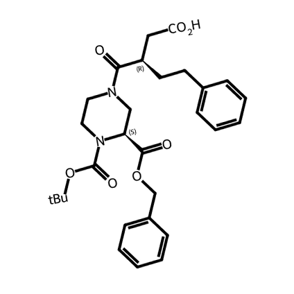 CC(C)(C)OC(=O)N1CCN(C(=O)[C@H](CCc2ccccc2)CC(=O)O)C[C@H]1C(=O)OCc1ccccc1